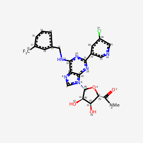 CNC(=O)[C@H]1O[C@@H](n2cnc3c(NCc4cccc(C(F)(F)F)c4)nc(-c4cncc(Cl)c4)nc32)[C@H](O)[C@@H]1O